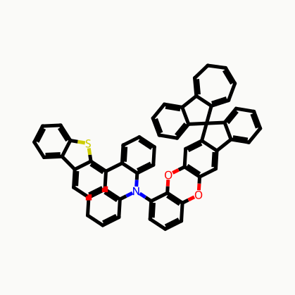 C1=CCC=C2C(=C1)C1(c3ccccc32)c2ccccc2-c2cc3c(cc21)Oc1c(cccc1N(C1=CCCC=C1)c1ccccc1-c1cccc2c1sc1ccccc12)O3